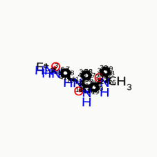 CCNC(=O)Nc1cccc(CCN/C(=C2\C(=O)Nc3ccc(C(=O)N[C@@H](C)c4ccccc4)cc32)c2ccccc2)c1